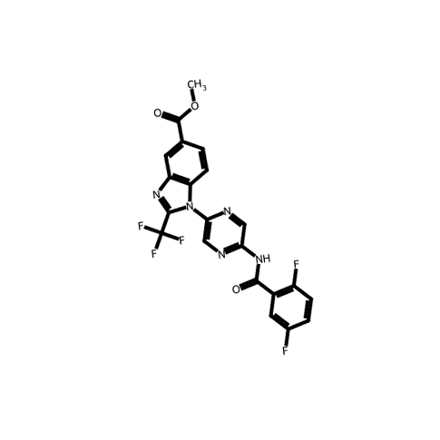 COC(=O)c1ccc2c(c1)nc(C(F)(F)F)n2-c1cnc(NC(=O)c2cc(F)ccc2F)cn1